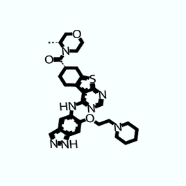 C[C@@H]1COCCN1C(=O)[C@H]1CCc2c(sc3ncnc(Nc4cc5cn[nH]c5cc4OCCN4CCCCC4)c23)C1